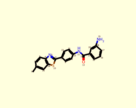 Cc1ccc2nc(-c3ccc(NC(=O)c4cccc(N)c4)cc3)sc2c1